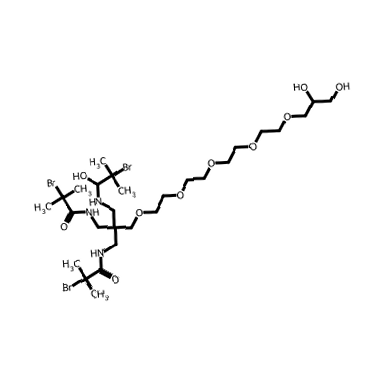 CC(C)(Br)C(=O)NCC(CNC(=O)C(C)(C)Br)(CNC(O)C(C)(C)Br)COCCOCCOCCOCCOCC(O)CO